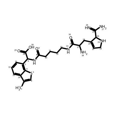 Cc1csc2c(C(NC(=O)CCCCNC(=O)C(N)CC3=CCNC3C(=N)N)C(=O)O)cccc12